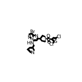 O=S(=O)(c1cc(Cl)sc1Cl)N1CCC(c2cc(NCc3cccnc3)n3ncc(Br)c3n2)CC1